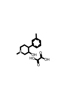 Cc1cccc(C2CCN(C)CC2O)c1.O=C(O)C(=O)O